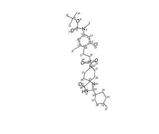 Cc1cc(N(C)C(=O)OC(C)(C)C)cc(Cl)c1CCS(=O)(=O)N1CCC2(CC1)N=C(C1CCC(C)CC1)NC2=O